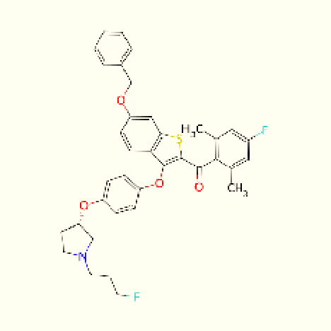 Cc1cc(F)cc(C)c1C(=O)c1sc2cc(OCc3ccccc3)ccc2c1Oc1ccc(O[C@H]2CCN(CCCF)C2)cc1